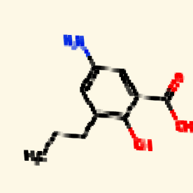 CCCc1cc(N)cc(C(=O)O)c1O